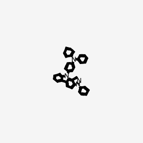 c1ccc(N(c2ccccc2)c2ccc(-n3c4ccccc4c4ccc5c(cnn5-c5ccccc5)c43)cc2)cc1